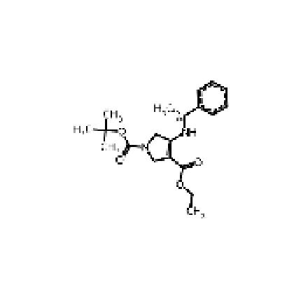 CCOC(=O)C1=C(N[C@H](C)c2ccccc2)CN(C(=O)OC(C)(C)C)C1